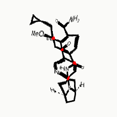 COCCC(=O)c1ccc(N2[C@@H]3CC[C@H]2C[C@@H](NC(=O)c2ccc(C(N)=O)c(NCC4CC4)c2)C3)nc1